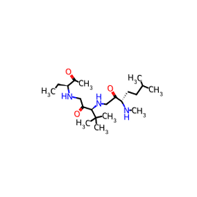 CC[C@H](NCC(=O)[C@@H](NCC(=O)[C@H](CCC(C)C)NC)C(C)(C)C)C(C)=O